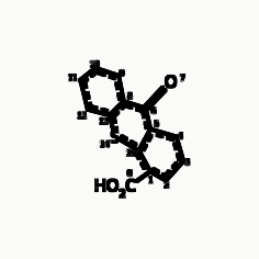 O=C(O)c1cccc2c(=O)c3ccccc3sc12